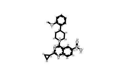 COc1ccccc1C1CCN(c2nc(C3CC3)nc3ccc([N+](=O)[O-])cc23)CC1